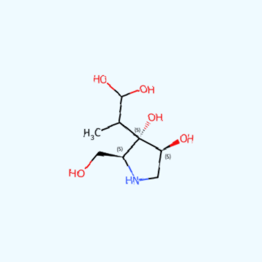 CC(C(O)O)[C@]1(O)[C@H](CO)NC[C@@H]1O